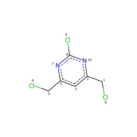 ClCc1cc(CCl)nc(Cl)n1